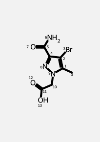 Cc1c(Br)c(C(N)=O)nn1CC(=O)O